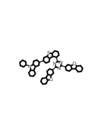 c1ccc(-n2c3ccccc3c3cc(-c4ccc5c(c4)sc4cccc(-c6nc(-c7ccc8c(c7)oc7ccccc78)nc(-c7ccc8c(c7)oc7ccccc78)n6)c45)ccc32)cc1